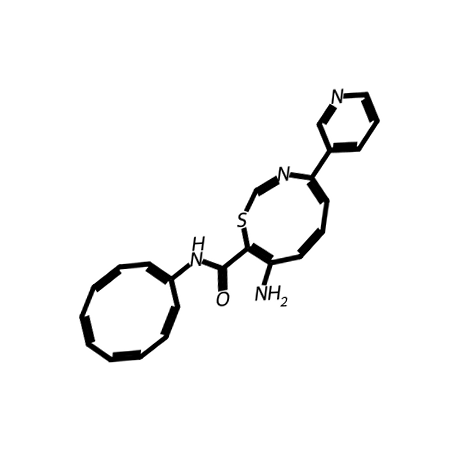 Nc1cccc(-c2cccnc2)ncsc1C(=O)Nc1ccccccccc1